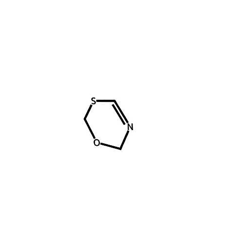 C1=NCOCS1